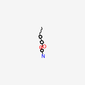 CCCCCc1ccc(-c2ccc(C(=O)Oc3ccc(C#N)cc3)cc2)cc1